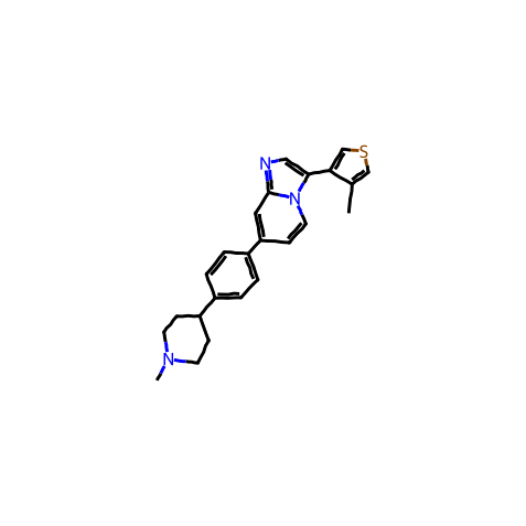 Cc1cscc1-c1cnc2cc(-c3ccc(C4CCN(C)CC4)cc3)ccn12